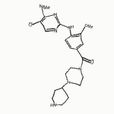 CNc1nc(Nc2ccc(C(=O)N3CCN(C4CCNCC4)CC3)cc2OC)ncc1Cl